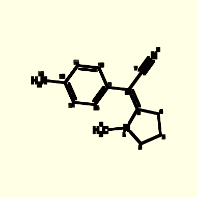 CN1CCCC1=C(C#N)c1ccc(N)cc1